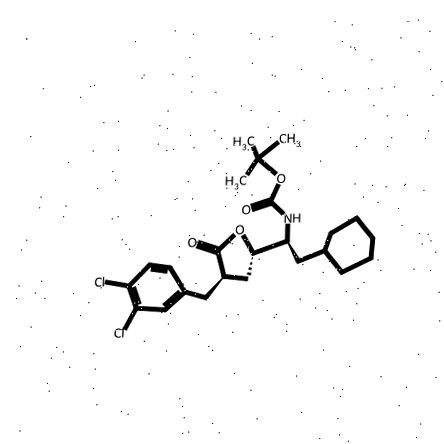 CC(C)(C)OC(=O)N[C@@H](CC1CCCCC1)[C@@H]1C[C@@H](Cc2ccc(Cl)c(Cl)c2)C(=O)O1